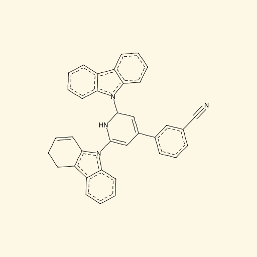 N#Cc1cccc(C2=CC(n3c4ccccc4c4ccccc43)NC(n3c4c(c5ccccc53)CCC=C4)=C2)c1